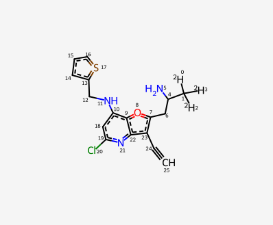 [2H]C([2H])([2H])C(N)Cc1oc2c(NCc3cccs3)cc(Cl)nc2c1C#C